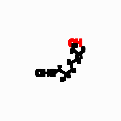 C/C(=C/CCC(C)CC=O)CO